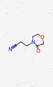 N#CCCN1CCOCC1=O